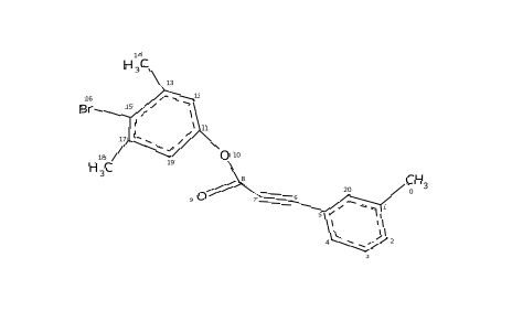 Cc1cccc(C#CC(=O)Oc2cc(C)c(Br)c(C)c2)c1